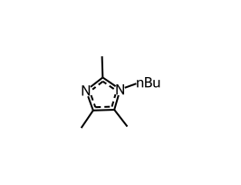 CCCCn1c(C)nc(C)c1C